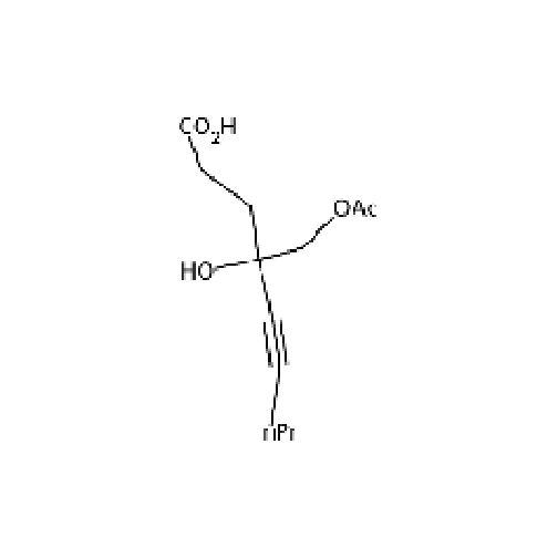 CCCC#CC(O)(CCC(=O)O)COC(C)=O